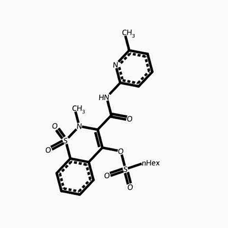 CCCCCCS(=O)(=O)OC1=C(C(=O)Nc2cccc(C)n2)N(C)S(=O)(=O)c2ccccc21